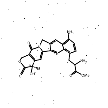 CC[C@@]1(O)C(=O)OCc2c1cc1n(c2=O)Cc2cc3c(N)ccc(CC(N)C(=O)OC)c3nc2-1